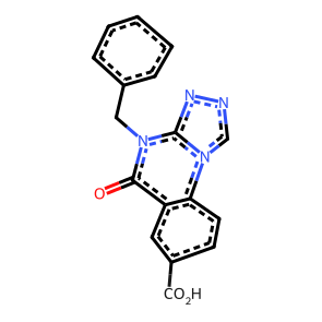 O=C(O)c1ccc2c(c1)c(=O)n(Cc1ccccc1)c1nncn21